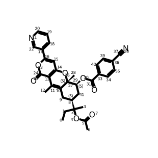 CCC(C)(OC(C)=O)[C@H]1CC2=C(C)c3c(cc(-c4cccnc4)oc3=O)O[C@]2(C)[C@@H](OC(=O)c2ccc(C#N)cc2)C1